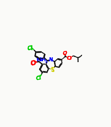 CC(C)COC(=O)c1ccc2c(c1)N=C(c1ccc(Cl)cc1)c1c(cc(Cl)cc1C(N)=O)S2